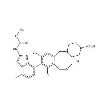 CC(C)(C)OC(=O)Nc1nc2c(-c3c(Cl)cc4c(c3Cl)COC[C@@H]3CN(C(=O)O)CCN3C4)ccc(F)c2s1